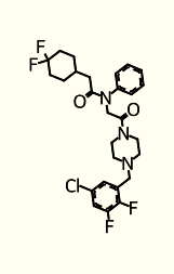 O=C(CN(C(=O)CC1CCC(F)(F)CC1)c1ccccc1)N1CCN(Cc2cc(Cl)cc(F)c2F)CC1